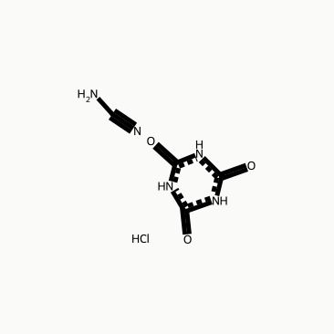 Cl.N#CN.O=c1[nH]c(=O)[nH]c(=O)[nH]1